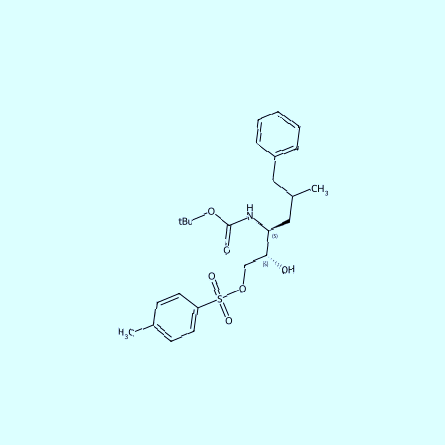 Cc1ccc(S(=O)(=O)OC[C@@H](O)[C@H](CC(C)Cc2ccccc2)NC(=O)OC(C)(C)C)cc1